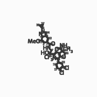 COc1cc(C(=O)NCC(O)(c2cc3c(c(-c4ccc(Cl)c(Cl)c4)n2)OC[C@]3(C)C(N)=O)C(F)(F)F)cc2cn(C3CC3)nc12